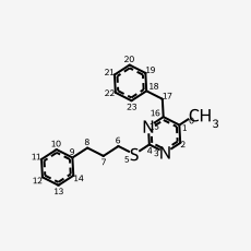 Cc1cnc(SCCCc2ccccc2)nc1Cc1ccccc1